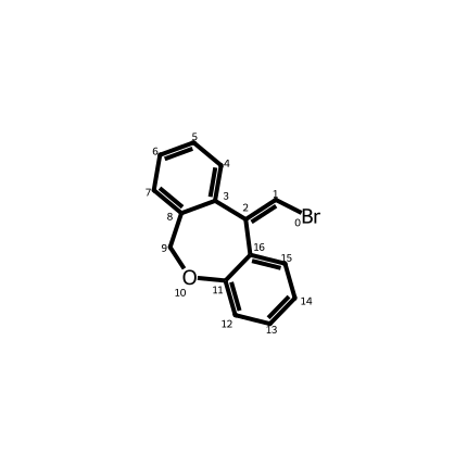 BrC=C1c2ccccc2COc2ccccc21